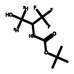 [2H]C([2H])(O)C(NC(=O)OC(C)(C)C)C(F)(F)F